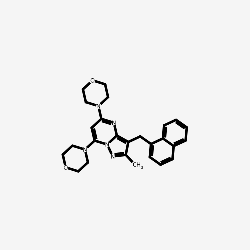 Cc1nn2c(N3CCOCC3)cc(N3CCOCC3)nc2c1Cc1cccc2ccccc12